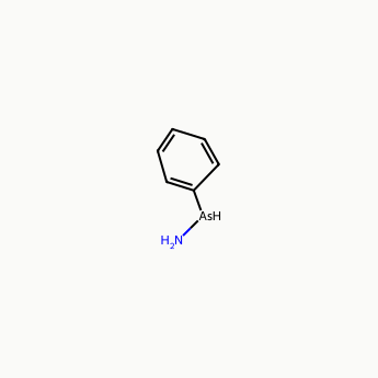 N[AsH]c1ccccc1